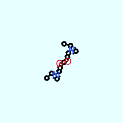 Cc1cccc(C)c1N(c1cccc(-c2ccccc2)c1)c1ccc2cc3c(cc2c1)oc1cc2c(cc13)oc1cc3cc(N(c4cccc(-c5ccccc5)c4)c4c(C)cccc4C)ccc3cc12